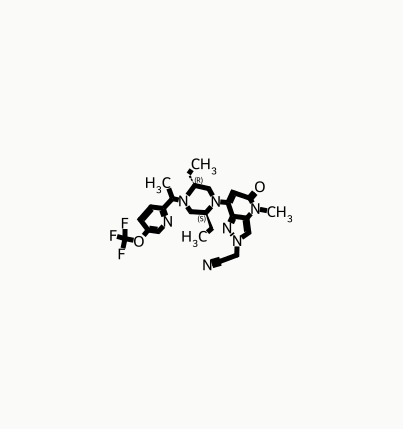 CC[C@H]1CN(C(C)c2ccc(OC(F)(F)F)cn2)[C@H](CC)CN1c1cc(=O)n(C)c2cn(CC#N)nc12